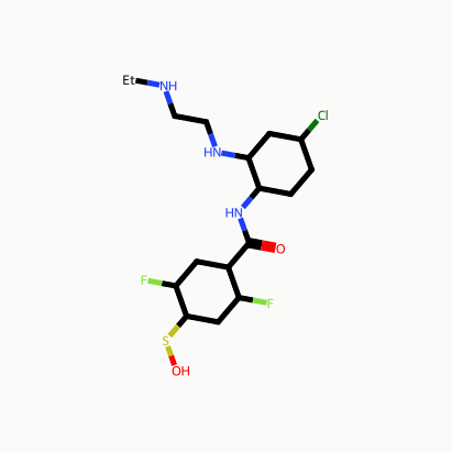 CCNCCNC1CC(Cl)CCC1NC(=O)C1CC(F)C(SO)CC1F